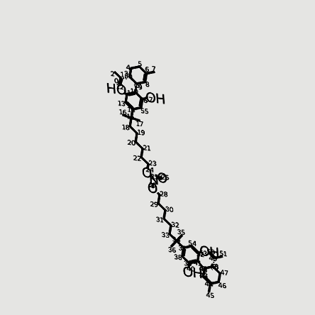 C=C(C)[C@@H]1CCC(C)=C[C@H]1c1c(O)cc(C(C)(C)CCCCCCO[N+](=O)OCCCCCCC(C)(C)c2cc(O)c([C@@H]3C=C(C)CC[C@H]3C(=C)C)c(O)c2)cc1O